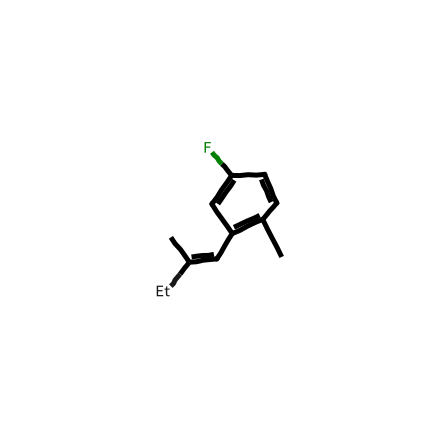 CC/C(C)=C/c1cc(F)ccc1C